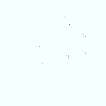 Cc1cccc2nc(OCC(C)C)c(C=C(C#N)C(=O)OCc3ccccc3)n12